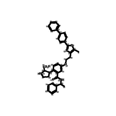 Cc1oc(-c2ccc(-c3ccccc3)cc2)nc1CCOc1ccc(C2CCN[C@H]2C(=O)O)c(C(=O)NC(C)c2ccccc2)c1